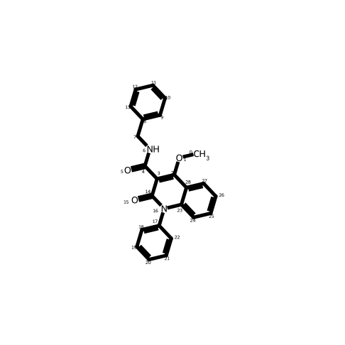 COc1c(C(=O)NCc2ccccc2)c(=O)n(-c2ccccc2)c2ccccc12